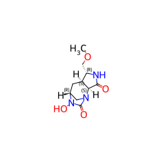 COC[C@@H]1NC(=O)[C@@H]2[C@H]1C[C@@H]1CN2C(=O)N1O